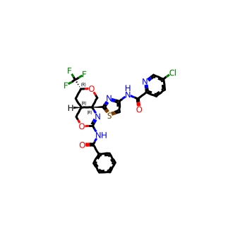 O=C(NC1=N[C@@]2(c3nc(NC(=O)c4ccc(Cl)cn4)cs3)CO[C@@H](C(F)(F)F)C[C@H]2CO1)c1ccccc1